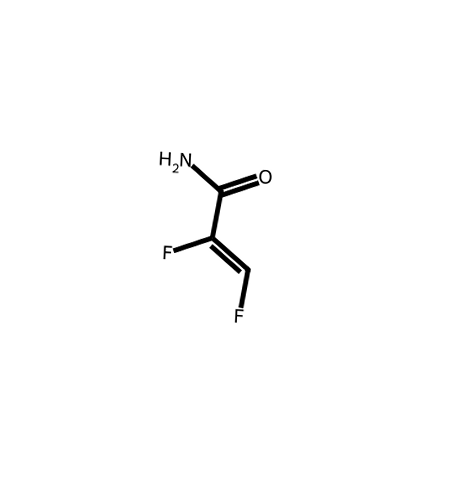 NC(=O)/C(F)=C/F